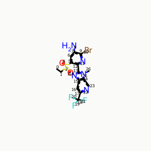 CCS(=O)(=O)c1cc(N)c(Br)nc1-c1nc2cc(C(F)(F)F)ncc2n1C